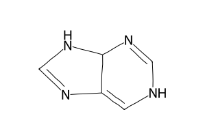 C1=NC2=CNC=NC2N1